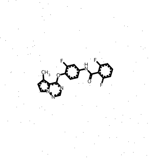 Cc1ccn2ncnc(Oc3ccc(NC(=O)c4c(F)cccc4F)cc3F)c12